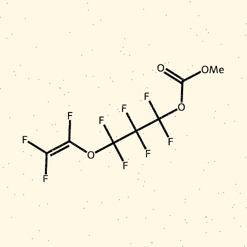 COC(=O)OC(F)(F)C(F)(F)C(F)(F)OC(F)=C(F)F